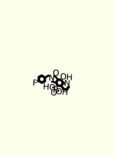 O=C1c2c(c(P(=O)(O)O)c3cccnc3c2O)CN1Cc1ccc(F)cc1